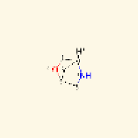 C1N[C@H]2CO[C]1C2